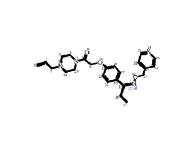 C=CCN1CCN(C(=O)COc2ccc(/C(CC)=N\OCc3ccncc3)cc2)CC1